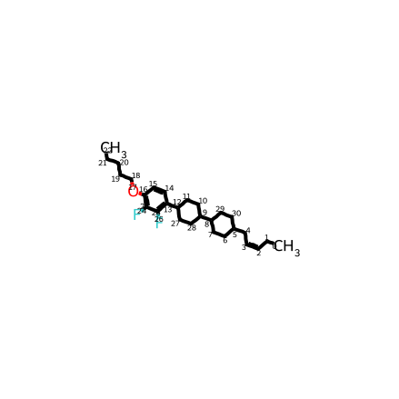 CC/C=C\CC1CCC(C2CCC(c3ccc(OCCCCC)c(F)c3F)CC2)CC1